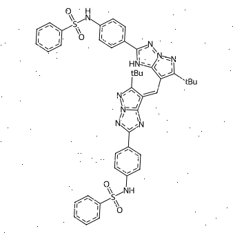 CC(C)(C)c1nn2nc(-c3ccc(NS(=O)(=O)c4ccccc4)cc3)[nH]c2c1/C=c1\c(C(C)(C)C)nn2nc(-c3ccc(NS(=O)(=O)c4ccccc4)cc3)nc12